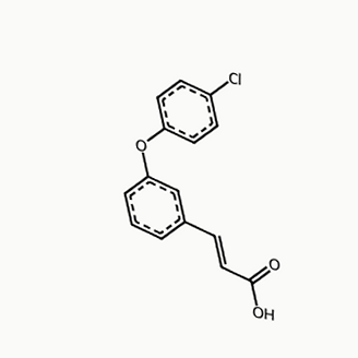 O=C(O)C=Cc1cccc(Oc2ccc(Cl)cc2)c1